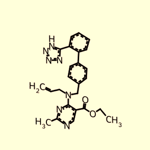 C=CCN(Cc1ccc(-c2ccccc2-c2nnn[nH]2)cc1)c1nc(C)ncc1C(=O)OCC